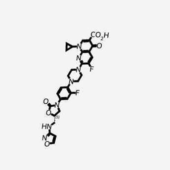 O=C(O)c1cn(C2CC2)c2nc(N3CCN(c4ccc(N5C[C@H](CNc6ccon6)OC5=O)cc4F)CC3)c(F)cc2c1=O